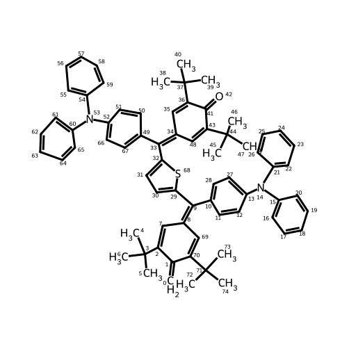 C=c1c(C(C)(C)C)cc(=C(c2ccc(N(c3ccccc3)c3ccccc3)cc2)c2ccc(C(=C3C=C(C(C)(C)C)C(=O)C(C(C)(C)C)=C3)c3ccc(N(c4ccccc4)c4ccccc4)cc3)s2)cc1C(C)(C)C